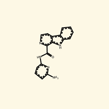 Nc1cccc(NC(=O)c2nccc3c2[nH]c2ccccc23)n1